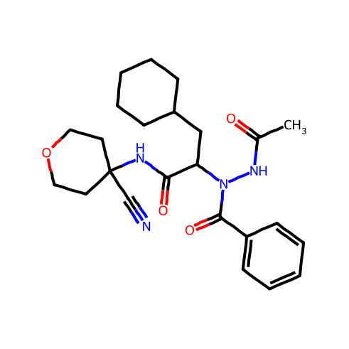 CC(=O)NN(C(=O)c1ccccc1)C(CC1CCCCC1)C(=O)NC1(C#N)CCOCC1